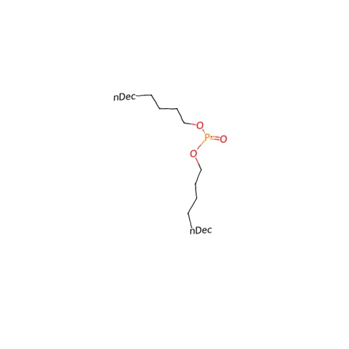 CCCCCCCCCCCCCCO[P](=O)OCCCCCCCCCCCCCC